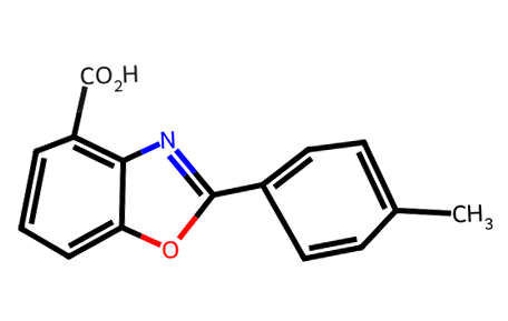 Cc1ccc(-c2nc3c(C(=O)O)cccc3o2)cc1